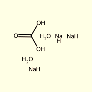 O.O.O=C(O)O.[NaH].[NaH].[NaH]